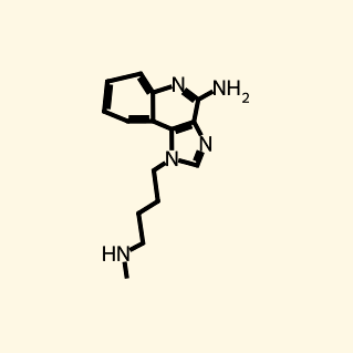 CNCCCCn1cnc2c(N)nc3ccccc3c21